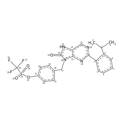 CC(C)c1ccccc1-c1ncc2[nH]c(=O)n(Cc3ccc(OS(=O)(=O)C(F)(F)F)cc3)c2n1